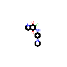 O=C1C(Nc2ccc(N3CCCCC3)cc2)=C(Cl)C(=O)c2ncccc21